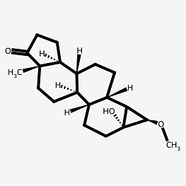 CO[C@@H]1C2[C@H]3CC[C@@H]4[C@H](CC[C@]5(C)C(=O)CC[C@@H]45)[C@H]3CC[C@@]21O